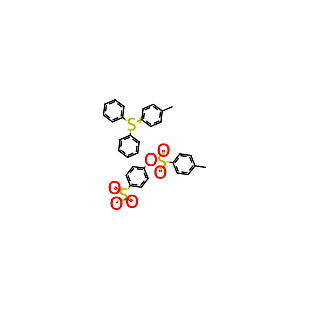 Cc1ccc(S(=O)(=O)Oc2ccc(S(=O)(=O)[O-])cc2)cc1.Cc1ccc([S+](c2ccccc2)c2ccccc2)cc1